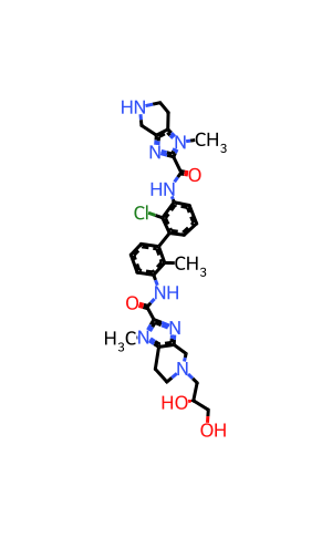 Cc1c(NC(=O)c2nc3c(n2C)CCN(C[C@H](O)CO)C3)cccc1-c1cccc(NC(=O)c2nc3c(n2C)CCNC3)c1Cl